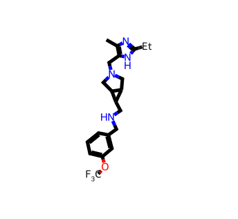 CCc1nc(C)c(CN2CC3C(CNCc4cccc(OC(F)(F)F)c4)C3C2)[nH]1